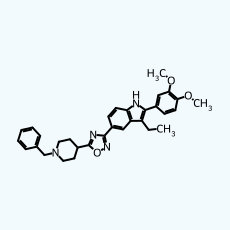 CCc1c(-c2ccc(OC)c(OC)c2)[nH]c2ccc(-c3noc(C4CCN(Cc5ccccc5)CC4)n3)cc12